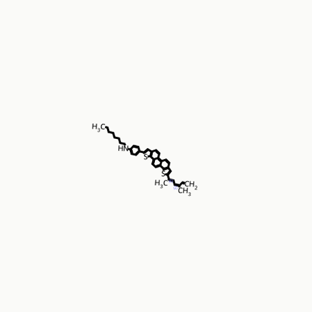 C=C/C(C)=C\C=C(/C)c1cc2ccc3c4ccc5cc(-c6ccc(NCCCCCCCC)cc6)sc5c4ccc3c2s1